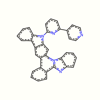 c1cc(-c2ccncc2)nc(-n2c3ccccc3c3cc4c5ccccc5c5nc6ccccc6n5c4cc32)c1